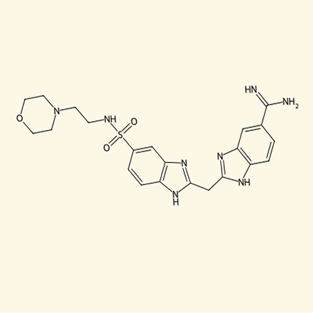 N=C(N)c1ccc2[nH]c(Cc3nc4cc(S(=O)(=O)NCCN5CCOCC5)ccc4[nH]3)nc2c1